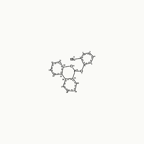 CC(C)(C)c1ccccc1OP1Oc2ccccc2-c2ccccc21